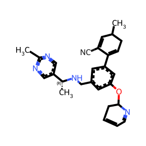 Cc1ncc([C@@H](C)NCc2cc(OC3CC=CC=N3)cc(C3=CCC(C)C=C3C#N)c2)cn1